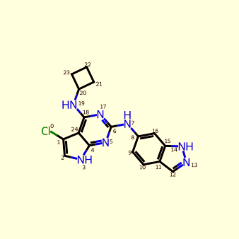 Clc1c[nH]c2nc(Nc3ccc4cn[nH]c4c3)nc(NC3CCC3)c12